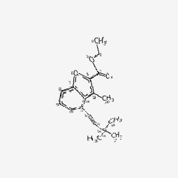 CCOC(=O)c1oc2cccc(C#C[Si](C)(C)C)c2c1C